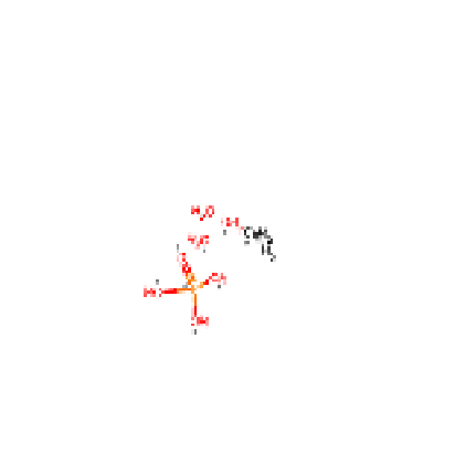 O.O.O.O=P(O)(O)O.[CaH2].[CaH2]